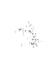 CNCC(NC(=O)N1CCC[C@@H]([C@@](O)(CCCNC(=O)O)c2cccc(F)c2F)C1)C(O)C1CCCCC1